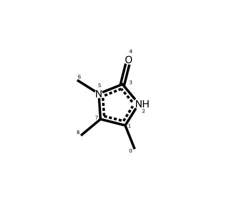 Cc1[nH]c(=O)n(C)c1C